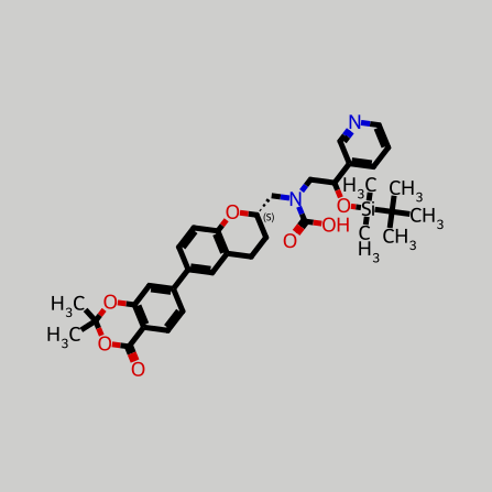 CC1(C)OC(=O)c2ccc(-c3ccc4c(c3)CC[C@@H](CN(CC(O[Si](C)(C)C(C)(C)C)c3cccnc3)C(=O)O)O4)cc2O1